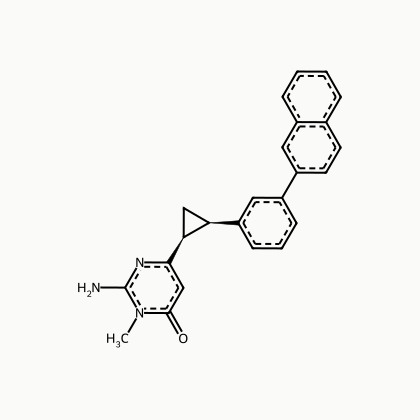 Cn1c(N)nc([C@H]2C[C@H]2c2cccc(-c3ccc4ccccc4c3)c2)cc1=O